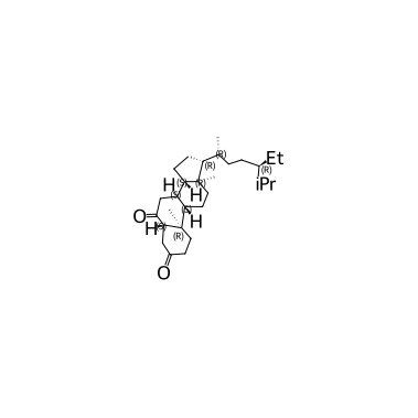 CC[C@H](CC[C@@H](C)[C@H]1CC[C@H]2[C@@H]3CC(=O)[C@H]4CC(=O)CC[C@]4(C)[C@H]3CC[C@]12C)C(C)C